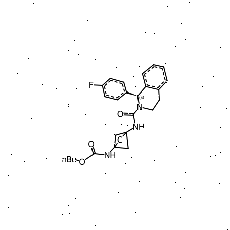 CCCCOC(=O)NC12CC(NC(=O)N3CCc4ccccc4[C@@H]3c3ccc(F)cc3)(C1)C2